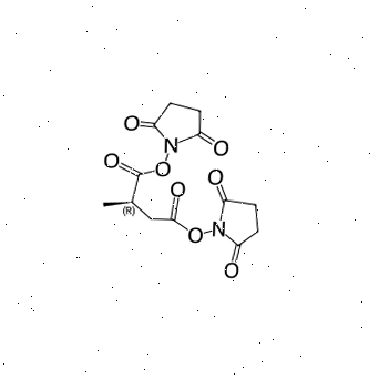 C[C@H](CC(=O)ON1C(=O)CCC1=O)C(=O)ON1C(=O)CCC1=O